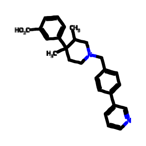 CC1CN(Cc2ccc(-c3cccnc3)cc2)CCC1(C)c1cccc(C(=O)O)c1